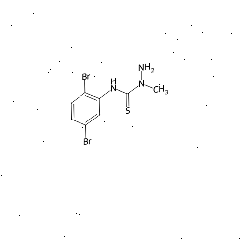 CN(N)C(=S)Nc1cc(Br)ccc1Br